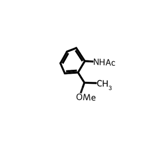 COC(C)c1ccccc1NC(C)=O